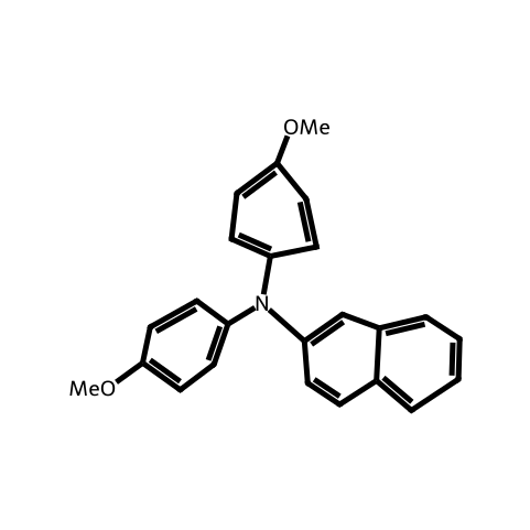 COc1ccc(N(c2ccc(OC)cc2)c2ccc3ccccc3c2)cc1